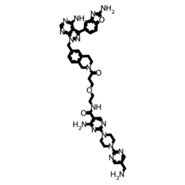 NCc1cnc(N2CCN(c3ncc(C(=O)NCCOCCC(=O)N4CCc5cc(Cn6nc(-c7ccc8oc(N)nc8c7)c7c(N)ncnc76)ccc5C4)c(N)n3)CC2)nc1